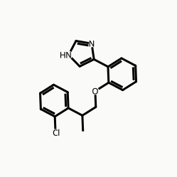 CC(COc1ccccc1-c1c[nH]cn1)c1ccccc1Cl